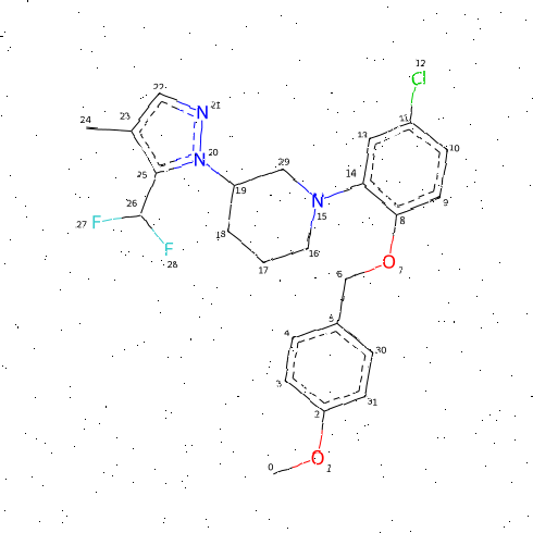 COc1ccc(COc2ccc(Cl)cc2N2CCCC(n3ncc(C)c3C(F)F)C2)cc1